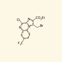 CCOC(=O)c1nc2c(Cl)nc3cc(C(F)(F)F)ccc3n2c1CBr